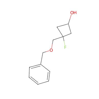 OC1CC(F)(COCc2ccccc2)C1